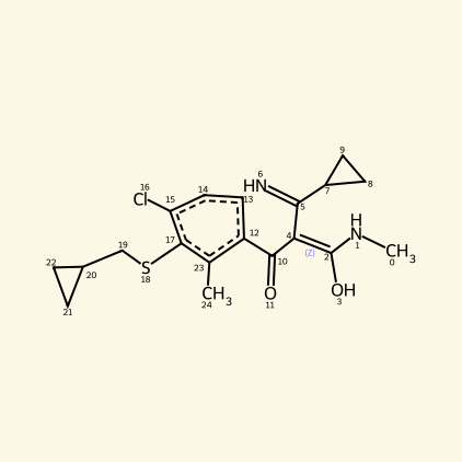 CN/C(O)=C(\C(=N)C1CC1)C(=O)c1ccc(Cl)c(SCC2CC2)c1C